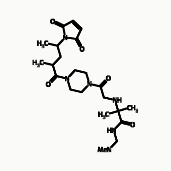 CNCNC(=O)C(C)(C)NCC(=O)N1CCN(C(=O)C(C)CC(C)N2C(=O)C=CC2=O)CC1